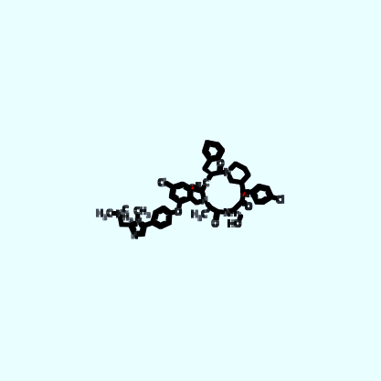 C[C@H]1C(=O)N[C@@H](CO)C(=O)N[C@@]2(Cc3ccc(Cl)cc3)CCCN(C2)C(=O)[C@H](Cc2ccccc2)CC(=O)N1Cc1c(F)cc(Cl)cc1Oc1ccc(-c2cnc(CN(C)C)n2C)cc1